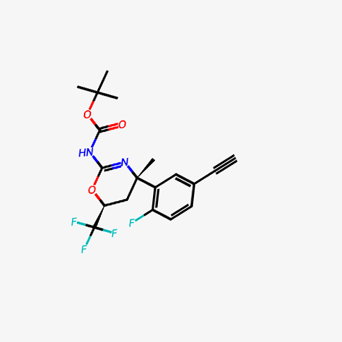 C#Cc1ccc(F)c([C@]2(C)C[C@@H](C(F)(F)F)OC(NC(=O)OC(C)(C)C)=N2)c1